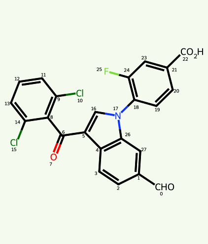 O=Cc1ccc2c(C(=O)c3c(Cl)cccc3Cl)cn(-c3ccc(C(=O)O)cc3F)c2c1